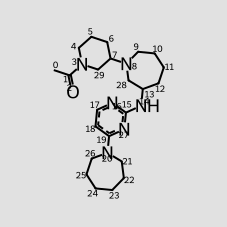 CC(=O)N1CCCC(N2CCCCC(Nc3nccc(N4CCCCCC4)n3)C2)C1